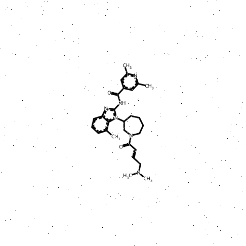 Cc1cc(C(=O)Nc2nc3cccc(C)c3n2C2CCCCN(C(=O)C=CCN(C)C)C2)cc(C)n1